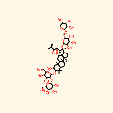 C=C(C)C(O)CC[C@](C)(O[C@@H]1O[C@H](CO[C@@H]2OC[C@@H](O)[C@H](O)[C@H]2O)[C@@H](O)[C@H](O)[C@H]1O)[C@H]1CC[C@]2(CC)[C@@H]1[C@H](O)CC1[C@@]3(C)C[C@@H](O)[C@H](O[C@@H]4O[C@H](CO)[C@@H](O)[C@H](O)[C@H]4O[C@@H]4O[C@H](CO)[C@@H](O)[C@H](O)[C@H]4O)C(C)(C)C3CC[C@]12C